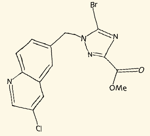 COC(=O)c1nc(Br)n(Cc2ccc3ncc(Cl)cc3c2)n1